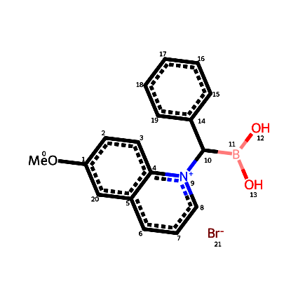 COc1ccc2c(ccc[n+]2C(B(O)O)c2ccccc2)c1.[Br-]